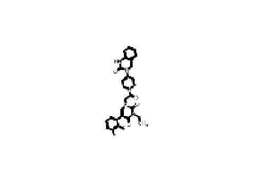 CCn1c(=O)c(-c2cccc(F)c2F)cn(CC(=O)N2C=CC(N3Cc4ccccc4NC3=O)=CC2)c1=O